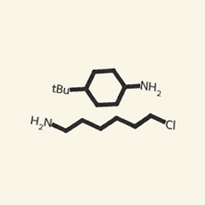 CC(C)(C)C1CCC(N)CC1.NCCCCCCCl